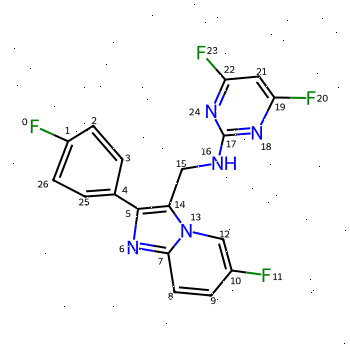 Fc1ccc(-c2nc3ccc(F)cn3c2CNc2nc(F)cc(F)n2)cc1